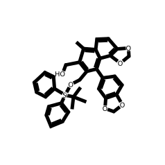 Cc1c(CO)c(CO[Si](c2ccccc2)(c2ccccc2)C(C)(C)C)c(-c2ccc3c(c2)OCO3)c2c3c(ccc12)OCO3